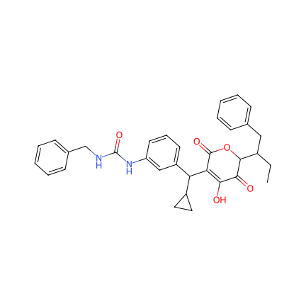 CCC(Cc1ccccc1)C1OC(=O)C(C(c2cccc(NC(=O)NCc3ccccc3)c2)C2CC2)=C(O)C1=O